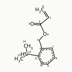 C=CC(=O)OCc1ccccc1[SiH](C)C